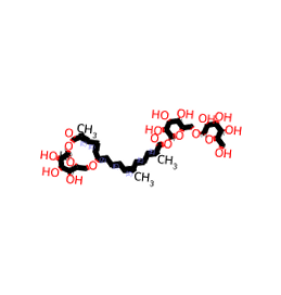 CC(=C/C=C/C=C1/C=C/C=C(\C)C(=O)O[C@@H]2OC(CO1)[C@@H](O)C(O)C2O)/C=C/C=C(\C)C(=O)O[C@@H]1OC(CO[C@@H]2OC(CO)[C@@H](O)C(O)C2O)[C@@H](O)C(O)C1O